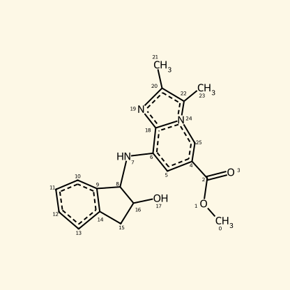 COC(=O)c1cc(NC2c3ccccc3CC2O)c2nc(C)c(C)n2c1